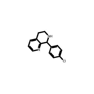 Clc1ccc(C2NCCc3cccnc32)cc1